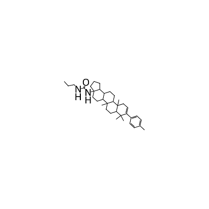 CCCNC(=O)NC12CCCC1C1CCC3C(C)(CCC4C(C)(C)C(c5ccc(C)cc5)=CCC43C)C1CC2